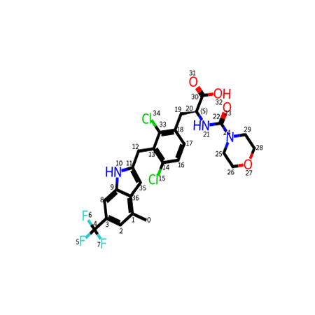 Cc1cc(C(F)(F)F)cc2[nH]c(Cc3c(Cl)ccc(C[C@H](NC(=O)N4CCOCC4)C(=O)O)c3Cl)cc12